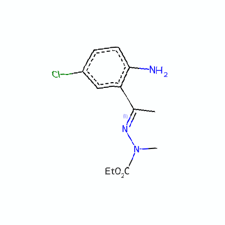 CCOC(=O)N(C)/N=C(\C)c1cc(Cl)ccc1N